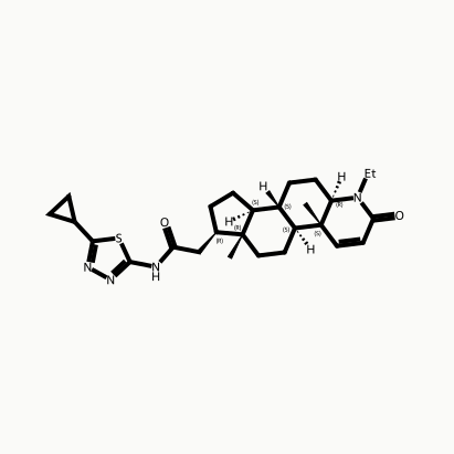 CCN1C(=O)C=C[C@]2(C)[C@H]3CC[C@]4(C)[C@@H](CC(=O)Nc5nnc(C6CC6)s5)CC[C@H]4[C@@H]3CC[C@@H]12